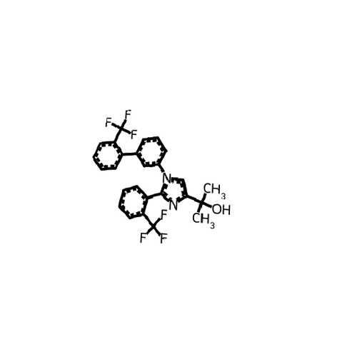 CC(C)(O)c1cn(-c2cccc(-c3ccccc3C(F)(F)F)c2)c(-c2ccccc2C(F)(F)F)n1